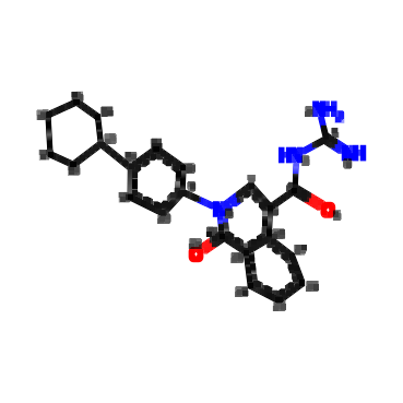 N=C(N)NC(=O)c1cn(-c2ccc(C3CCCCC3)cc2)c(=O)c2ccccc12